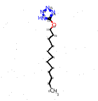 CCCCCCCCCCCCOc1nnn[nH]1